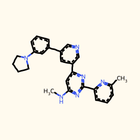 CNc1cc(-c2cncc(-c3cccc(N4CCCC4)c3)c2)nc(-c2cccc(C)n2)n1